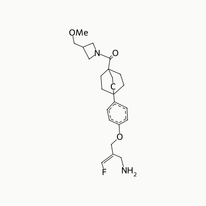 COCC1CN(C(=O)C23CCC(c4ccc(OCC(=CF)CN)cc4)(CC2)CC3)C1